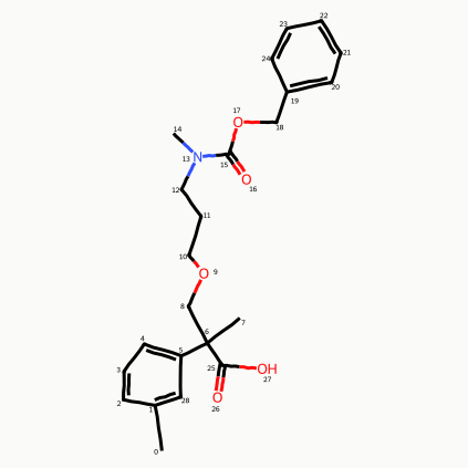 Cc1cccc(C(C)(COCCCN(C)C(=O)OCc2ccccc2)C(=O)O)c1